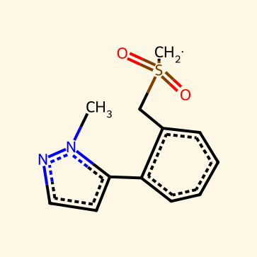 [CH2]S(=O)(=O)Cc1ccccc1-c1ccnn1C